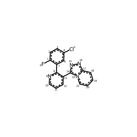 Fc1ccc(Cl)cc1-c1ncccc1-c1nnc2ccccn12